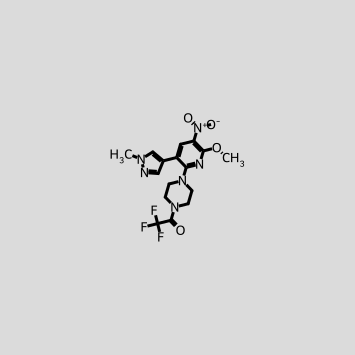 COc1nc(N2CCN(C(=O)C(F)(F)F)CC2)c(-c2cnn(C)c2)cc1[N+](=O)[O-]